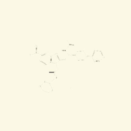 CCC(=O)C(=O)N(Cc1nc2cc(C(=N)N)ccc2n1CC(=O)NC1CCCCC1)C1CCN(c2ccncc2)CC1.Cl.Cl